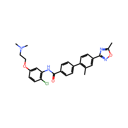 Cc1nc(-c2ccc(-c3ccc(C(=O)Nc4cc(OCCN(C)C)ccc4Cl)cc3)c(C)c2)no1